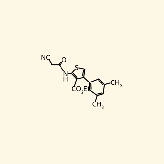 CCOC(=O)c1c(-c2cc(C)cc(C)c2)csc1NC(=O)CC#N